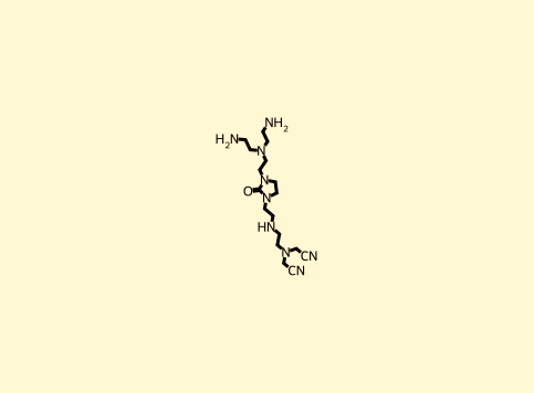 N#CCN(CC#N)CCNCCN1CCN(CCN(CCN)CCN)C1=O